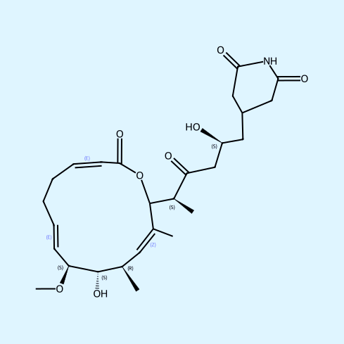 CO[C@H]1/C=C/CC/C=C/C(=O)OC([C@H](C)C(=O)C[C@@H](O)CC2CC(=O)NC(=O)C2)/C(C)=C\[C@@H](C)[C@@H]1O